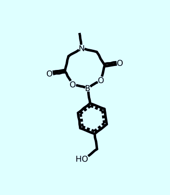 CN1CC(=O)OB(c2ccc(CO)cc2)OC(=O)C1